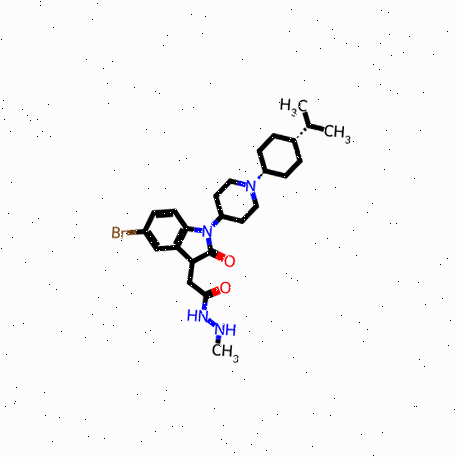 CNNC(=O)CC1C(=O)N(C2CCN([C@H]3CC[C@@H](C(C)C)CC3)CC2)c2ccc(Br)cc21